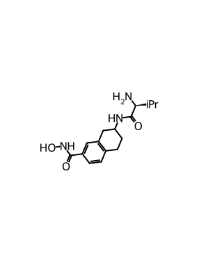 CC(C)[C@H](N)C(=O)NC1CCc2ccc(C(=O)NO)cc2C1